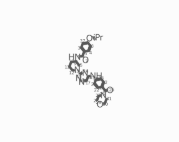 CC(C)Oc1ccc(C(=O)NC2CCCN(c3nncc(Nc4ccc(C(=O)N5CCOCC5)cc4)n3)C2)cc1